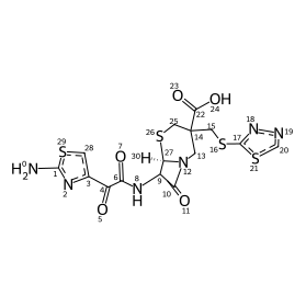 Nc1nc(C(=O)C(=O)NC2C(=O)N3CC(CSc4nncs4)(C(=O)O)CS[C@H]23)cs1